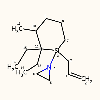 C=CC[Si]1(N2CC2)CCCC(C)C1(CC)CC